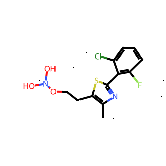 Cc1nc(-c2c(F)cccc2Cl)sc1CCON(O)O